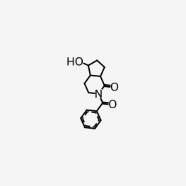 O=C(c1ccccc1)N1CCC2C(O)CCC2C1=O